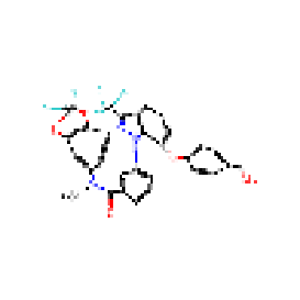 CN(C(=O)c1cccc(-n2nc(C(F)(F)F)c3c2[C@@H](Oc2ccc(CO)cc2)CCC3)c1)c1ccc2c(c1)OC(F)(F)O2